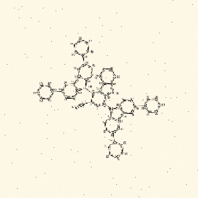 N#Cc1cc(-n2c3ccc(-c4ccccc4)cc3c3cc(-c4ccccc4)ccc32)c2sc3ccccc3c2c1-n1c2ccc(-c3ccccc3)cc2c2cc(-c3ccccc3)ccc21